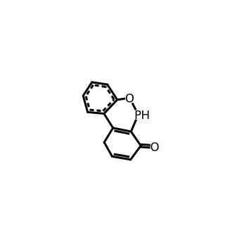 O=C1C=CCC2=C1POc1ccccc12